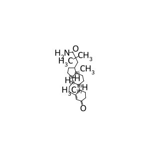 CC(C)(CC1CC[C@H]2[C@@H]3CCC4=CC(=O)CC[C@]4(C)[C@@H]3CC[C@]12C)C(N)=O